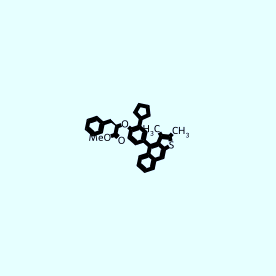 COC(=O)[C@@H](Cc1ccccc1)Oc1ccc(-c2c3ccccc3cc3sc(C)c(C)c23)cc1C1CCCC1